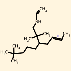 C=CNCC(C)(C)C(C/C=C/C)CCCC(C)(C)C